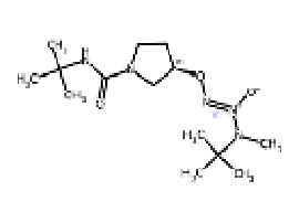 CN(/[N+]([O-])=N/O[C@@H]1CCN(C(=O)NC(C)(C)C)C1)C(C)(C)C